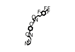 Fc1cc(C(F)(F)F)ccc1C=Cc1nc(COc2ccc(-c3nc(Cn4ccnc4)co3)cc2)co1